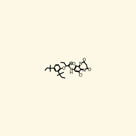 CCC(Oc1ccc(C(C)(C)CC)cc1C(C)(C)CC)C(=O)Nc1cc(Cl)c2c(c1O)=NC(=O)CC(=O)N=2